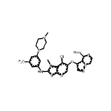 CNc1nccn2ncc(Oc3cnc4nc(Nc5cc(N6CCN(C)CC6)cc(C(F)(F)F)c5)n(C)c4c3Cl)c12